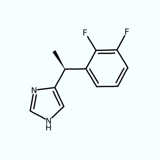 C[C@H](c1c[nH]cn1)c1cccc(F)c1F